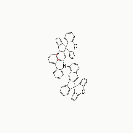 c1ccc(-c2ccccc2N(c2ccc3c(c2)C2(c4ccccc4Oc4ccccc42)c2ccccc2-3)c2cccc3cc4c(cc23)-c2ccccc2C42c3ccccc3Oc3ccccc32)cc1